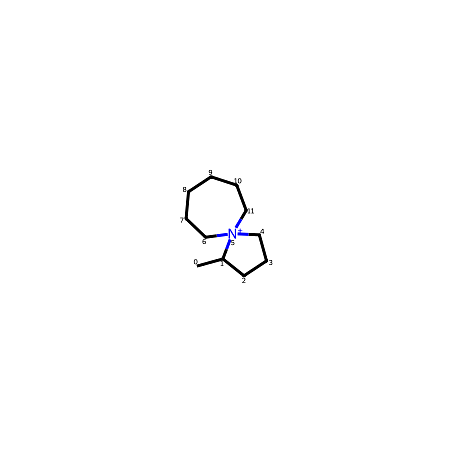 CC1CCC[N+]12CCCCCC2